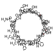 CCCC[C@H]1C(=O)N(C)[C@@H](CCCC)C(=O)N[C@@H](C)C(=O)N[C@H](C(=O)NCC(N)=O)CSCC(=O)N[C@@H](Cc2ccc(O)cc2)C(=O)N(C)[C@@H](C)C(=O)N[C@@H](CC(=O)O)C(=O)N2CCC[C@H]2C(=O)N[C@@H](Cc2cnc[nH]2)C(=O)N[C@@H](CC(C)C)C(=O)N2C[C@H](O)C[C@H]2C(=O)N[C@@H](Cc2c[nH]c3ccccc23)C(=O)N[C@@H](CO)C(=O)N[C@@H](Cc2c[nH]c3ccccc23)C(=O)N1C